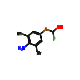 CC(C)c1cc(SC(O)F)cc(C(C)C)c1N